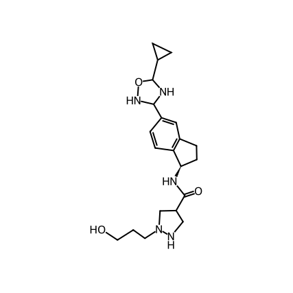 O=C(N[C@@H]1CCc2cc(C3NOC(C4CC4)N3)ccc21)C1CNN(CCCO)C1